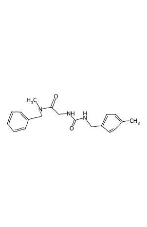 Cc1ccc(CNC(=O)NCC(=O)N(C)Cc2ccccc2)cc1